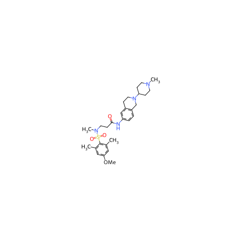 COc1cc(C)c(S(=O)(=O)N(C)CCC(=O)Nc2ccc3c(c2)CCN(C2CCN(C)CC2)C3)c(C)c1